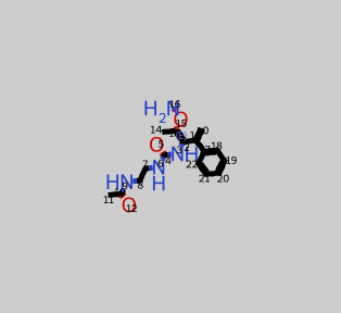 C=C(/C(NC(=O)NCCNC(C)=O)=C(/C)ON)c1ccccc1